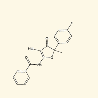 CC1(c2ccc(F)cc2)OC(NC(=O)c2ccccc2)=C(O)C1=O